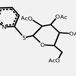 CC(=O)OCC1OC(Sc2ccccn2)C(OC(C)=O)C(OC(C)=O)C1OC(C)=O